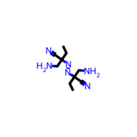 CCC(C#N)(CN)/N=N/C(C#N)(CC)CN